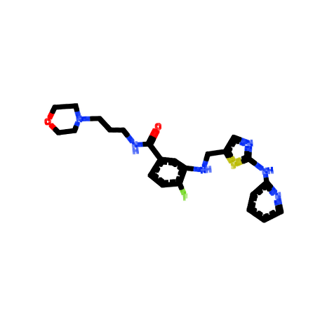 O=C(NCCCN1CCOCC1)c1ccc(F)c(NCc2cnc(Nc3ccccn3)s2)c1